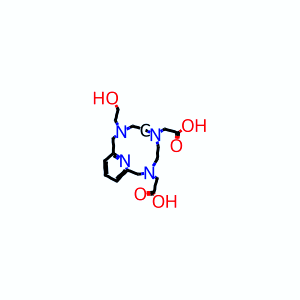 O=C(O)CN1CCN(CCO)Cc2cccc(n2)CN(CC(=O)O)CC1